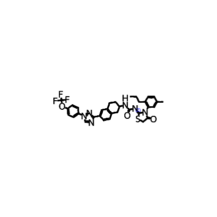 CCCc1ccc(C)cc1N1C(=O)CS/C1=N\C(=O)NC1CCc2cc(-c3ncn(-c4ccc(OC(F)(F)F)cc4)n3)ccc2C1